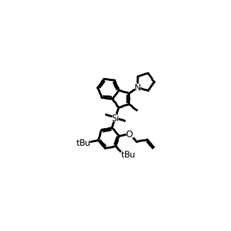 C=CCOc1c(C(C)(C)C)cc(C(C)(C)C)cc1[Si](C)(C)C1C(C)=C(N2CCCC2)c2ccccc21